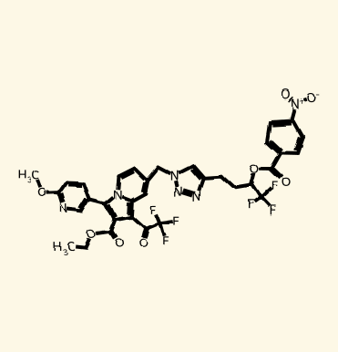 CCOC(=O)c1c(C(=O)C(F)(F)F)c2cc(Cn3cc(CCC(OC(=O)c4ccc([N+](=O)[O-])cc4)C(F)(F)F)nn3)ccn2c1-c1ccc(OC)nc1